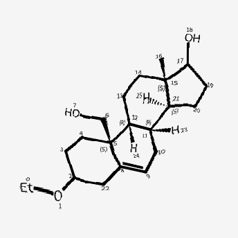 CCOC1CC[C@@]2(CO)C(=CC[C@@H]3[C@H]2CC[C@]2(C)C(O)CC[C@@H]32)C1